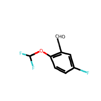 O=Cc1cc(F)ccc1OC(F)F